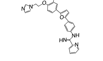 Cc1cc(-c2ccc(-c3ccc(NC(=N)c4ccccn4)cc3)o2)ccc1OCCn1ccnc1